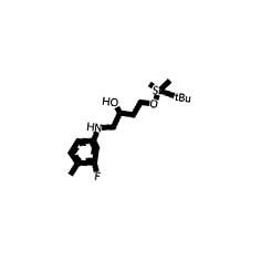 Cc1ccc(NCC(O)CCO[Si](C)(C)C(C)(C)C)cc1F